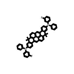 CC1(C)c2cc(N(c3ccccc3)c3cccc(F)c3)ccc2-c2cc3ccc4c5c(cc6ccc1c2c6c35)-c1ccc(N(c2ccccc2)c2cccc(F)c2)cc1C4(C)C